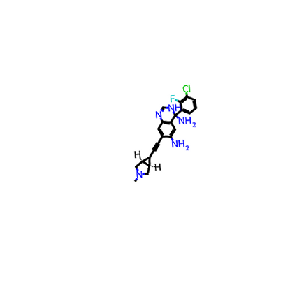 CN1C[C@@H]2C(C#Cc3cc4c(cc3N)C(N)(c3cccc(Cl)c3F)NC=N4)[C@@H]2C1